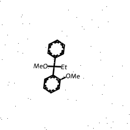 CCC(OC)(c1ccccc1)c1ccccc1OC